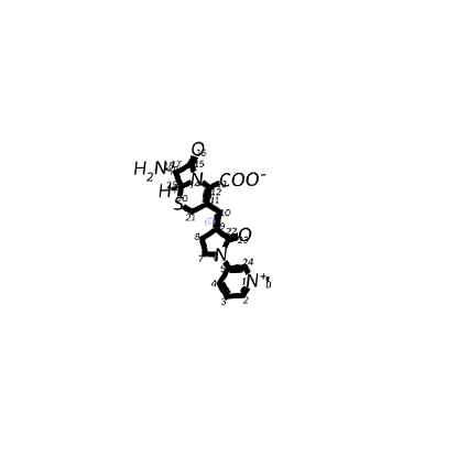 C[n+]1cccc(N2CC/C(=C\C3=C(C(=O)[O-])N4C(=O)[C@@H](N)[C@H]4SC3)C2=O)c1